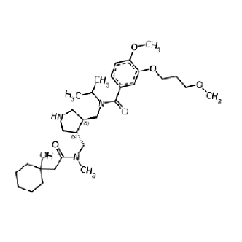 COCCCOc1cc(C(=O)N(C[C@@H]2CNC[C@H]2CN(C)C(=O)CC2(O)CCCCC2)C(C)C)ccc1OC